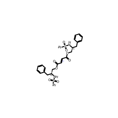 CC(C)S(=O)(=O)N[C@H](COC(=O)/C=C/C(=O)OC[C@H](Cc1ccccc1)NS(=O)(=O)C(C)C)Cc1ccccc1